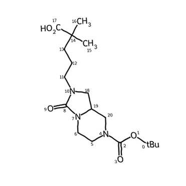 CC(C)(C)OC(=O)N1CCN2C(=O)N(CCCC(C)(C)C(=O)O)CC2C1